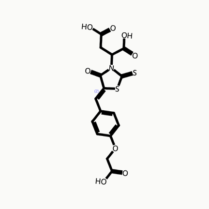 O=C(O)COc1ccc(/C=C2\SC(=S)N(C(CC(=O)O)C(=O)O)C2=O)cc1